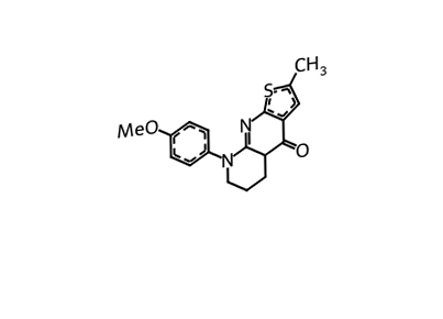 COc1ccc(N2CCCC3C(=O)c4cc(C)sc4N=C32)cc1